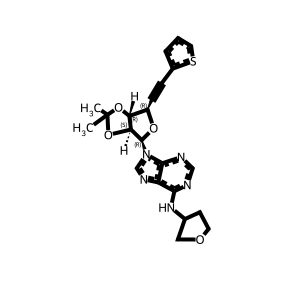 CC1(C)O[C@H]2[C@H](O1)[C@@H](C#Cc1cccs1)O[C@H]2n1cnc2c(NC3CCOC3)ncnc21